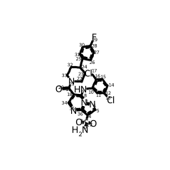 NS(=O)(=O)c1cnn2c(Nc3cc(Cl)ccc3Cl)c(C(=O)N3CCC(c4ccc(F)cc4)CC3)cnc12